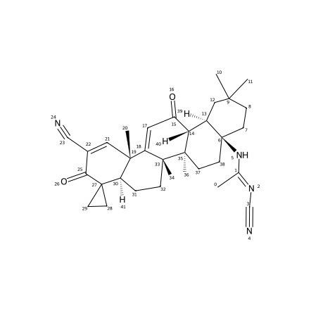 C/C(=N\C#N)N[C@]12CCC(C)(C)C[C@@H]1[C@H]1C(=O)C=C3[C@@]4(C)C=C(C#N)C(=O)C5(CC5)[C@@H]4CC[C@@]3(C)[C@]1(C)CC2